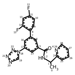 CC(NC(=O)c1cc(-c2ccc(F)cc2F)cc(-n2cnnn2)c1)c1ccccn1